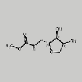 COC(=O)NC[C@H]1OC[C@H](O)[C@@H]1O